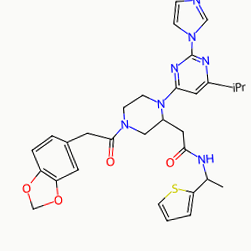 CC(C)c1cc(N2CCN(C(=O)Cc3ccc4c(c3)OCO4)CC2CC(=O)NC(C)c2cccs2)nc(-n2ccnc2)n1